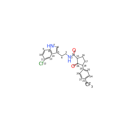 O=C(NCCc1c[nH]c2ccc(Cl)cc12)C1CCC(c2ccc(C(F)(F)F)cc2)C1=O